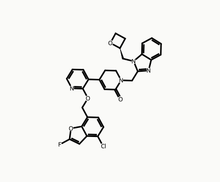 O=C1C=C(c2cccnc2OCc2ccc(Cl)c3cc(F)oc23)CCN1Cc1nc2ccccc2n1C[C@@H]1CCO1